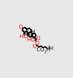 CC(=O)CCCCC(C(=O)O)C(=O)OCC(=O)[C@@]1(O)CC[C@H]2[C@@H]3CCC4=CC(=O)C=C(C)[C@]4(C)[C@H]3C(O)C[C@@]21C